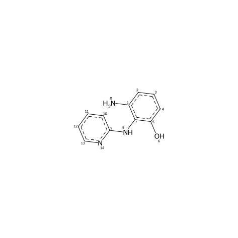 Nc1cccc(O)c1Nc1ccccn1